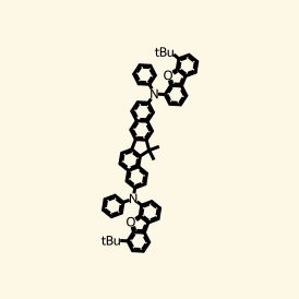 CC(C)(C)c1cccc2c1oc1c(N(c3ccccc3)c3ccc4cc5c(cc4c3)C(C)(C)c3c-5ccc4cc(N(c5ccccc5)c5cccc6c5oc5c(C(C)(C)C)cccc56)ccc34)cccc12